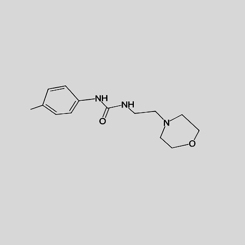 Cc1ccc(NC(=O)NCCN2CCOCC2)cc1